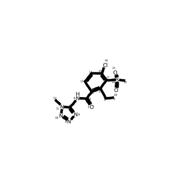 CCc1c(C(=O)Nc2nnnn2C)ccc(Cl)c1S(C)(=O)=O